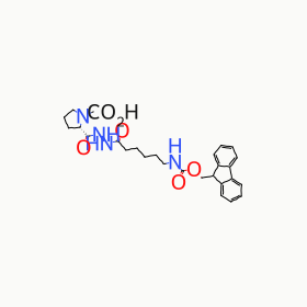 O=C(CCCCCNC(=O)OCC1c2ccccc2-c2ccccc21)NNC(=O)[C@@H]1CCCN1C(=O)O